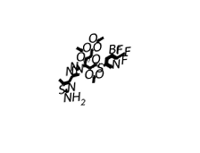 CC(=O)OCC1O[C@H](Sc2cnc(C(F)(F)F)c(Br)c2)C(OC(C)=O)C(n2cc(-c3nc(N)sc3C)nn2)[C@H]1OC(C)=O